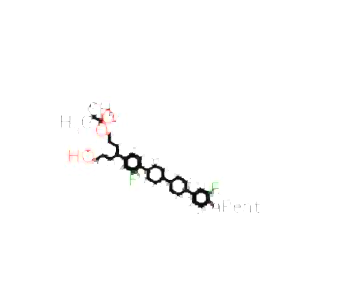 C=C(C)C(=O)OCCCC(CCCO)c1ccc(C2CCC(C3CCC(c4ccc(CCCCC)c(F)c4)CC3)CC2)c(F)c1